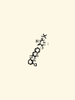 CC(C)(C)OC(=O)N/C(=C/c1ccc2nc(Oc3c(Cl)cccc3Cl)ccc2c1)C(=O)O